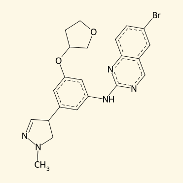 CN1CC(c2cc(Nc3ncc4cc(Br)ccc4n3)cc(OC3CCOC3)c2)C=N1